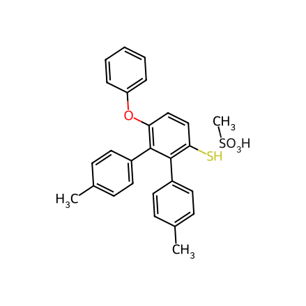 CS(=O)(=O)O.Cc1ccc(-c2c(S)ccc(Oc3ccccc3)c2-c2ccc(C)cc2)cc1